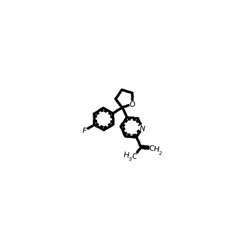 C=C(C)c1ccc(C2(c3ccc(F)cc3)CCCO2)cn1